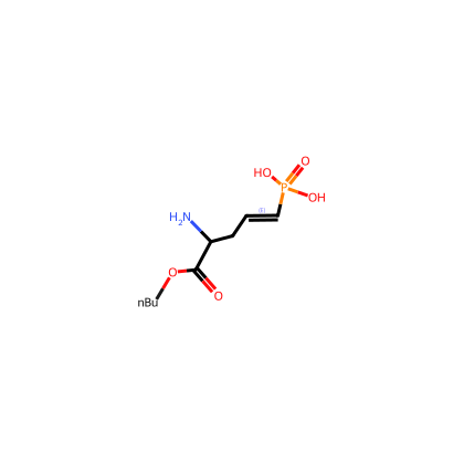 CCCCOC(=O)C(N)C/C=C/P(=O)(O)O